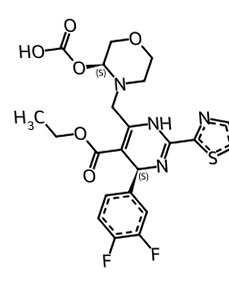 CCOC(=O)C1=C(CN2CCOC[C@@H]2OC(=O)O)NC(c2nccs2)=N[C@H]1c1ccc(F)c(F)c1